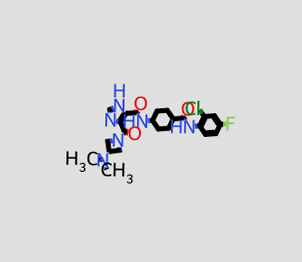 CN(C)C1CN(C(=O)c2nc[nH]c2C(=O)NC2CCC(C(=O)Nc3ccc(F)cc3Cl)CC2)C1